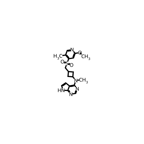 COc1cc(S(=O)(=O)CC2CC(N(C)c3ncnc4[nH]ccc34)C2)c(C)cn1